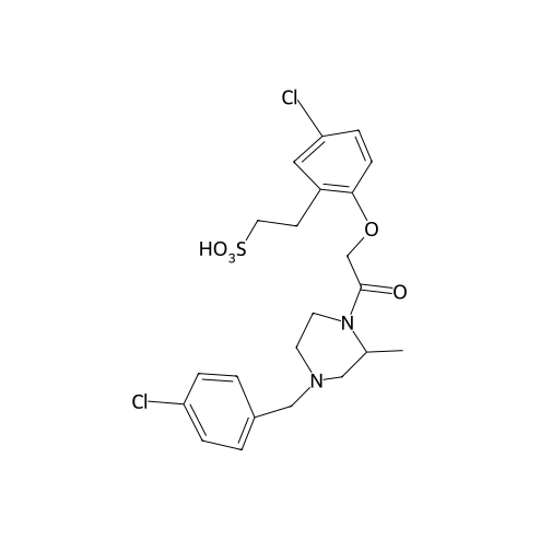 CC1CN(Cc2ccc(Cl)cc2)CCN1C(=O)COc1ccc(Cl)cc1CCS(=O)(=O)O